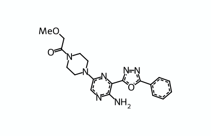 COCC(=O)N1CCN(c2cnc(N)c(-c3nnc(-c4ccccc4)o3)n2)CC1